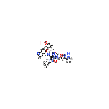 O=C1[C@H](Cc2ccc(O)cc2)N2C(=O)CN(Cc3cc(C4CCCN4)no3)N(C(=O)NCc3ccccc3)[C@H]2CN1Cc1cccc2ncccc12